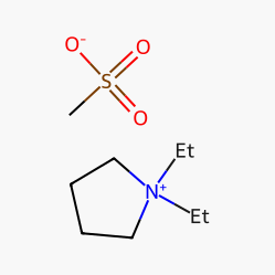 CC[N+]1(CC)CCCC1.CS(=O)(=O)[O-]